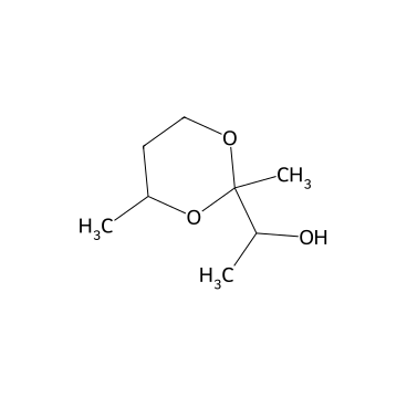 CC1CCOC(C)(C(C)O)O1